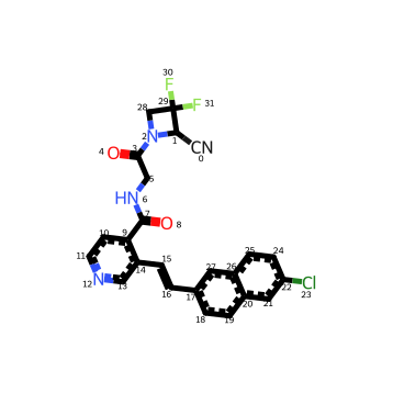 N#CC1N(C(=O)CNC(=O)c2ccncc2C=Cc2ccc3cc(Cl)ccc3c2)CC1(F)F